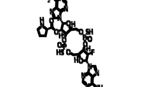 Nc1ncnc2c1ncn2[C@@H]1O[C@@H]2CO[P@@](=O)(S)O[C@H]3[C@@H](OC(=O)[C@H]4CCCN4)[C@H](n4cnc5c(N)ncnc54)O[C@@H]3CO[P@](=O)(S)O[C@H]2[C@H]1F